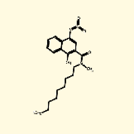 CCCCCCCCCCCCCCCCCCN(C)C(=O)c1cc(N=S(=O)=O)c2ccccc2c1O